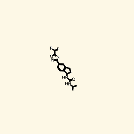 CC(C)NC(=O)NC1CCc2cc(-c3noc(C(F)F)n3)ccc21